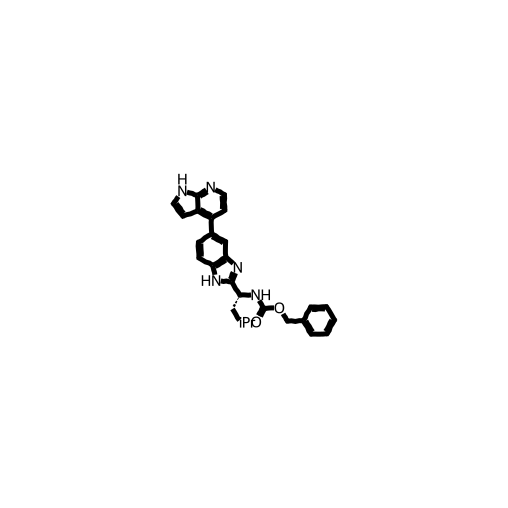 CC(C)C[C@@H](NC(=O)OCc1ccccc1)c1nc2cc(-c3ccnc4[nH]ccc34)ccc2[nH]1